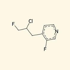 FCC(Cl)Cc1ccncc1F